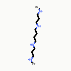 CC(C)NCCCNCCCCNCCCNC(C)(C)C